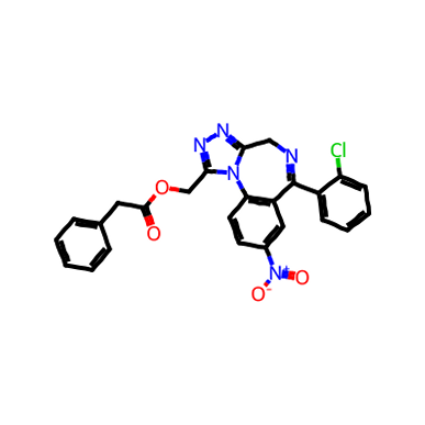 O=C(Cc1ccccc1)OCc1nnc2n1-c1ccc([N+](=O)[O-])cc1C(c1ccccc1Cl)=NC2